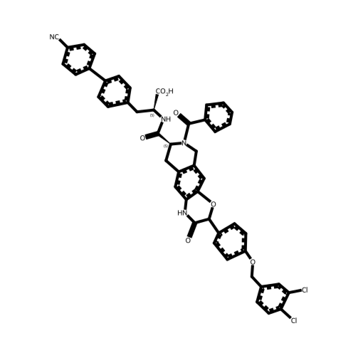 N#Cc1ccc(-c2ccc(C[C@H](NC(=O)[C@@H]3Cc4cc5c(cc4CN3C(=O)c3ccccc3)OC(c3ccc(OCc4ccc(Cl)c(Cl)c4)cc3)C(=O)N5)C(=O)O)cc2)cc1